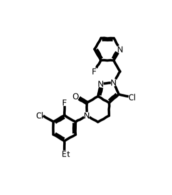 CCc1cc(Cl)c(F)c(N2CCc3c(nn(Cc4ncccc4F)c3Cl)C2=O)c1